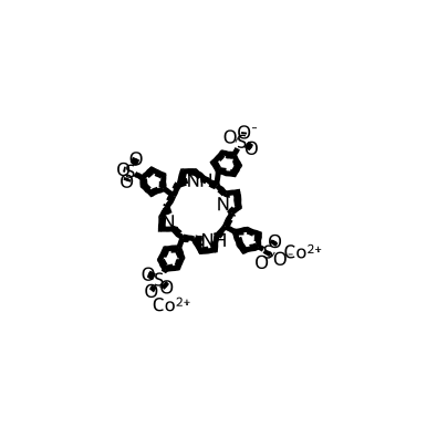 O=S(=O)([O-])c1ccc(-c2c3nc(c(-c4ccc(S(=O)(=O)[O-])cc4)c4ccc([nH]4)c(-c4ccc(S(=O)(=O)[O-])cc4)c4nc(c(-c5ccc(S(=O)(=O)[O-])cc5)c5ccc2[nH]5)C=C4)C=C3)cc1.[Co+2].[Co+2]